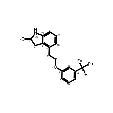 O=C1Cc2c(CCOc3cccc(C(F)(F)F)c3)cccc2N1